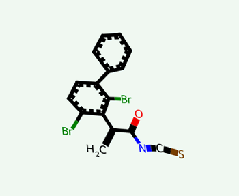 C=C(C(=O)N=C=S)c1c(Br)ccc(-c2ccccc2)c1Br